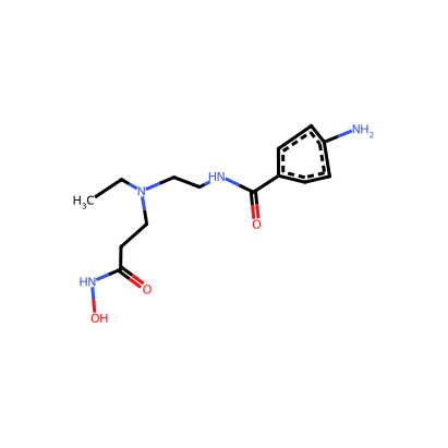 CCN(CCNC(=O)c1ccc(N)cc1)CCC(=O)NO